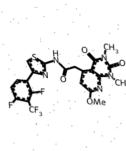 COc1cc(CC(=O)Nc2nc(-c3ccc(F)c(C(F)(F)F)c3F)cs2)c2c(=O)n(C)c(=O)n(C)c2n1